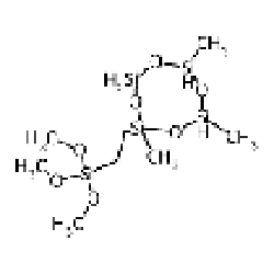 CO[Si](CC[Si]1(C)O[SiH2]O[SiH](C)O[SiH](C)O1)(OC)OC